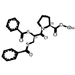 CC(C)(C)OC(=O)[C@@H]1CCCN1C(=O)[C@@H](CSC(=O)c1ccccc1)SC(=O)c1ccccc1